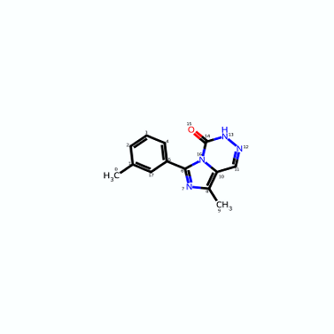 Cc1cccc(-c2nc(C)c3cn[nH]c(=O)n23)c1